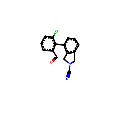 N#CN1Cc2cccc(-c3c(Cl)cccc3C=O)c2C1